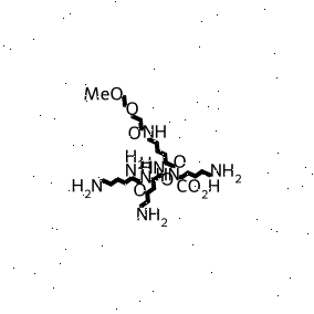 COCCOCCC(=O)NCCCCC(NC(=O)C(CCCCN)NC(=O)C(N)CCCCN)C(=O)NC(CCCCN)C(=O)O